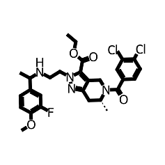 CCOC(=O)c1c2c(nn1CCNC(C)c1ccc(OC)c(F)c1)C[C@@H](C)N(C(=O)c1ccc(Cl)c(Cl)c1)C2